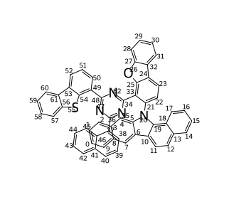 c1ccc2cc3c(cc2c1)c1ccc2ccccc2c1n3-c1ccc2c(oc3ccccc32)c1-c1nc(-c2cccc3ccccc23)nc(-c2cccc3c2sc2ccccc23)n1